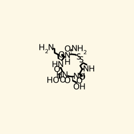 NCCCC[C@@H]1NC(=O)[C@H](CC(=O)O)NC(=O)[C@H](CC(=O)O)NC(=O)C2CC(CN2)SSC[C@@H](C(N)=O)NC1=O